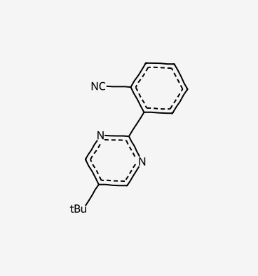 CC(C)(C)c1cnc(-c2ccccc2C#N)nc1